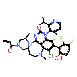 C=CC(=O)N1CC(C)N2c3nc(=O)n(-c4c(C)ccnc4C(C)C)c4c(F)c(-c5c(O)ccc(F)c5F)c(Cl)c(c34)N(C)CCC2C1